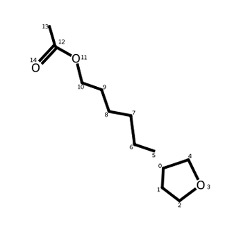 C1CCOC1.CCCCCCOC(C)=O